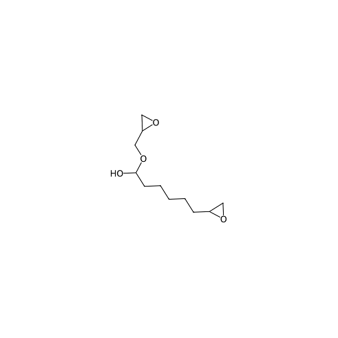 OC(CCCCCC1CO1)OCC1CO1